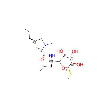 CCC[C@@H]1C[C@@H](C(=O)N[C@H](CCC)C2O[C@H](SC)[C@H](O)[C@@H](O)[C@H]2O)N(C)C1